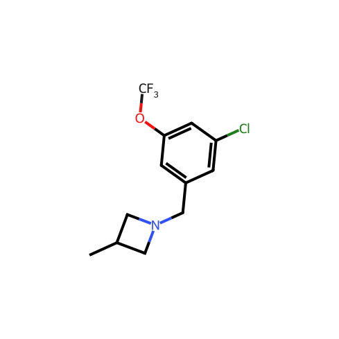 CC1CN(Cc2cc(Cl)cc(OC(F)(F)F)c2)C1